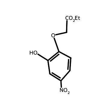 CCOC(=O)COc1ccc([N+](=O)[O-])cc1O